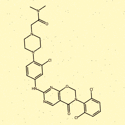 CN(C)C(=O)CN1CCN(c2ccc(Nc3ncc4c(n3)OCN(c3c(Cl)cccc3Cl)C4=O)cc2Cl)CC1